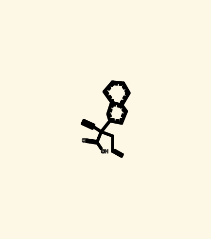 C#CC(CC=C)(C(=O)O)c1ccc2ccccc2c1